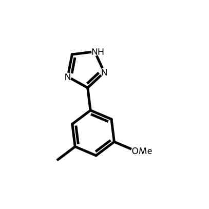 COc1cc(C)cc(-c2nc[nH]n2)c1